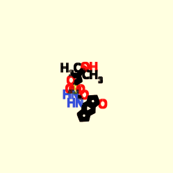 CC(C)(O)c1coc(S(=O)(=O)NC(=O)Nc2c3c(cc4c2CCC4=O)CCC3)c1